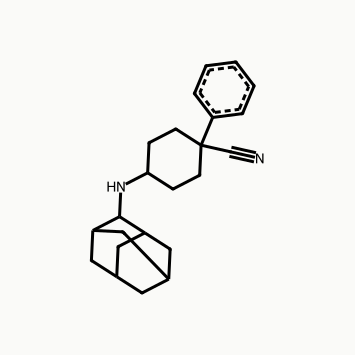 N#CC1(c2ccccc2)CCC(NC2C3CC4CC(C3)CC2C4)CC1